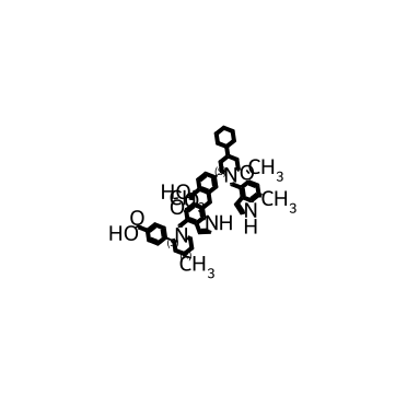 COc1cc(C)c2[nH]ccc2c1CN1CCC(C2CCCCC2)C[C@H]1c1ccc(C(=O)O)c(Cc2cc(OC)c(CN3CC[C@@H](C)C[C@H]3c3ccc(C(=O)O)cc3)c3cc[nH]c23)c1